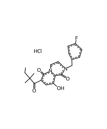 CCC(C)(C)C(=O)c1cc(O)c2c(=O)n(Cc3ccc(F)cc3)ccn2c1=O.Cl